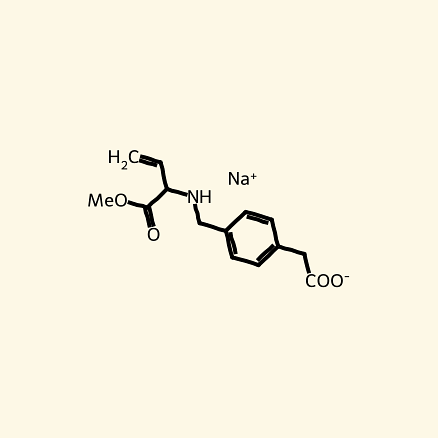 C=CC(NCc1ccc(CC(=O)[O-])cc1)C(=O)OC.[Na+]